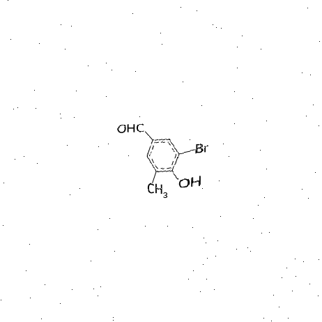 Cc1cc(C=O)cc(Br)c1O